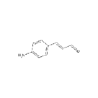 Nc1ccc(C=CC=O)cc1